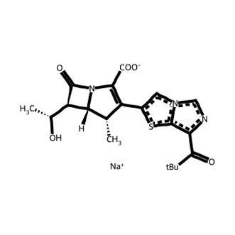 C[C@@H](O)[C@H]1C(=O)N2C(C(=O)[O-])=C(c3cn4cnc(C(=O)C(C)(C)C)c4s3)[C@H](C)[C@H]12.[Na+]